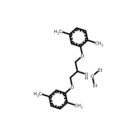 CCOCC.Cc1ccc(C)c(OCC(O)COc2cc(C)ccc2C)c1